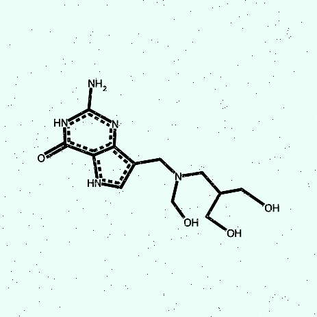 Nc1nc2c(CN(CO)CC(CO)CO)c[nH]c2c(=O)[nH]1